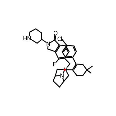 CC1(C)CCC(CN2C3CCC2CN(Cc2ccc4c(c2F)CN(C2CCCNC2)C4=O)C3)=C(c2ccc(Cl)cc2)C1